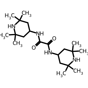 CC1(C)CC(NC(=O)C(=O)NC2CC(C)(C)NC(C)(C)C2)CC(C)(C)N1